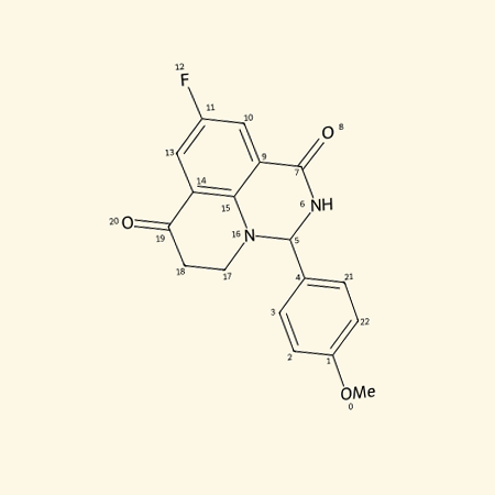 COc1ccc(C2NC(=O)c3cc(F)cc4c3N2CCC4=O)cc1